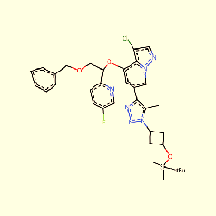 Cc1c(-c2cc(OC(COCc3ccccc3)c3ccc(F)cn3)c3c(Cl)cnn3c2)nnn1C1CC(O[Si](C)(C)C(C)(C)C)C1